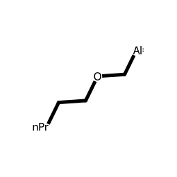 CCCCCO[CH2][Al]